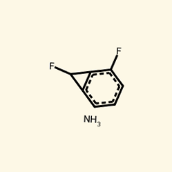 Fc1cccc2c1C2F.N